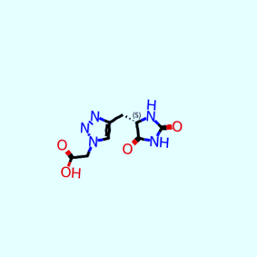 O=C(O)Cn1cc(C[C@@H]2NC(=O)NC2=O)nn1